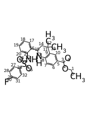 CCOC(=O)c1ccc2c(c1)C(C)(C)CC(c1ccccc1NS(=O)(=O)c1ccc(F)cc1)N2